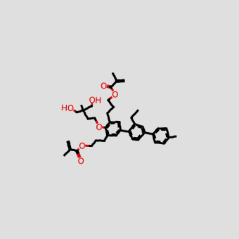 C=C(C)C(=O)OCCCc1cc(-c2ccc(-c3ccc(C)cc3)cc2CC)cc(CCCOC(=O)C(=C)C)c1OCCC(C)(CO)CO